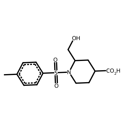 Cc1ccc(S(=O)(=O)N2CCC(C(=O)O)CC2CO)cc1